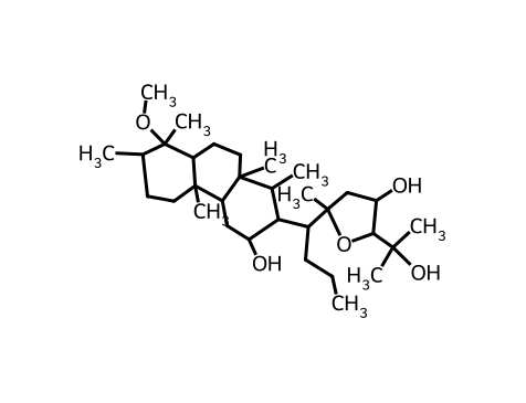 CCCC(C1C(O)CC2C(C)(CCC3C2(C)CCC(C)C3(C)OC)C1C)C1(C)CC(O)C(C(C)(C)O)O1